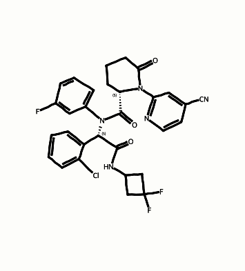 N#Cc1ccnc(N2C(=O)CCC[C@H]2C(=O)N(c2cccc(F)c2)[C@H](C(=O)NC2CC(F)(F)C2)c2ccccc2Cl)c1